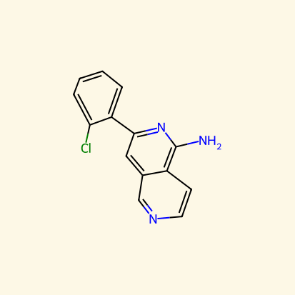 Nc1nc(-c2ccccc2Cl)cc2cnccc12